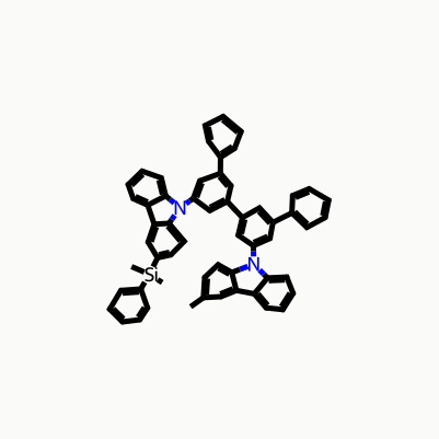 Cc1ccc2c(c1)c1ccccc1n2-c1cc(-c2ccccc2)cc(-c2cc(-c3ccccc3)cc(-n3c4ccccc4c4cc([Si](C)(C)c5ccccc5)ccc43)c2)c1